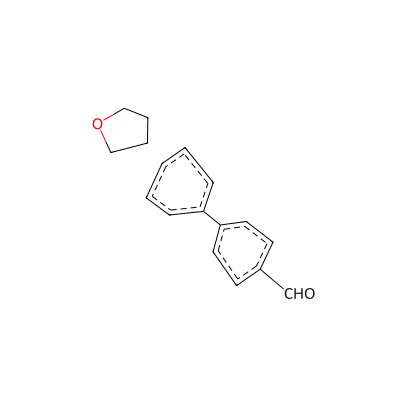 C1CCOC1.O=Cc1ccc(-c2ccccc2)cc1